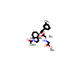 CC[C@H](C)[C@H](NCC(=O)OC(C)(C)C)C(=O)O[C@@]1(C#Cc2cccc(C)c2)CCC[C@@H]2[C@H]1CCN2C(=O)OC